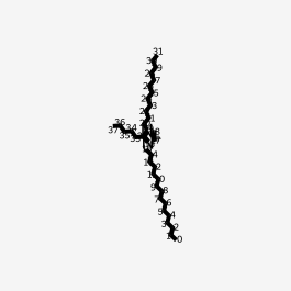 CCCCCCCCCCCCCCCC[n+]1ccn(CCCCCCCCCCCC)c1CCCCC